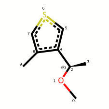 CO[C@H](C)c1cscc1C